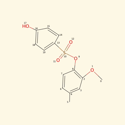 COc1cc(C)ccc1OS(=O)(=O)c1ccc(O)cc1